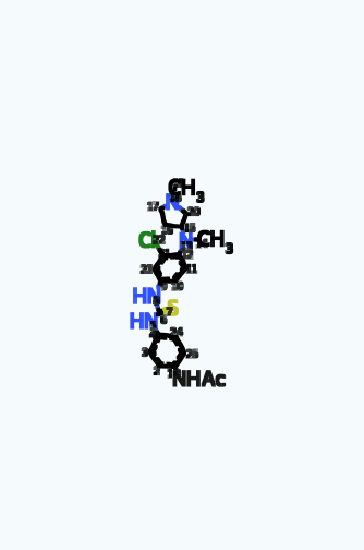 CC(=O)Nc1ccc(NC(=S)Nc2ccc(N(C)C3CCN(C)C3)c(Cl)c2)cc1